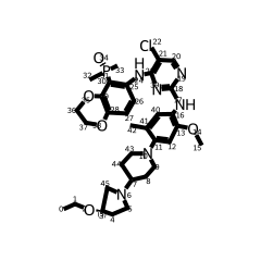 CCO[C@H]1CCN(C2CCN(c3cc(OC)c(Nc4ncc(Cl)c(Nc5ccc6c(c5P(C)(C)=O)OCCO6)n4)cc3C)CC2)C1